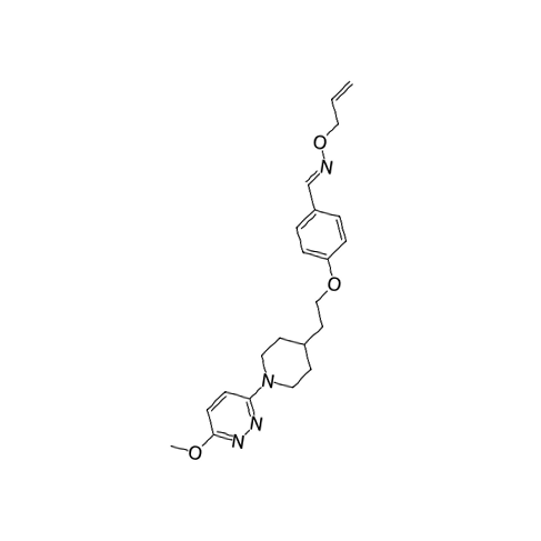 C=CCON=Cc1ccc(OCCC2CCN(c3ccc(OC)nn3)CC2)cc1